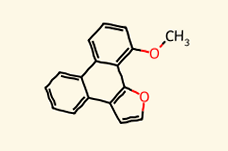 COc1cccc2c3ccccc3c3ccoc3c12